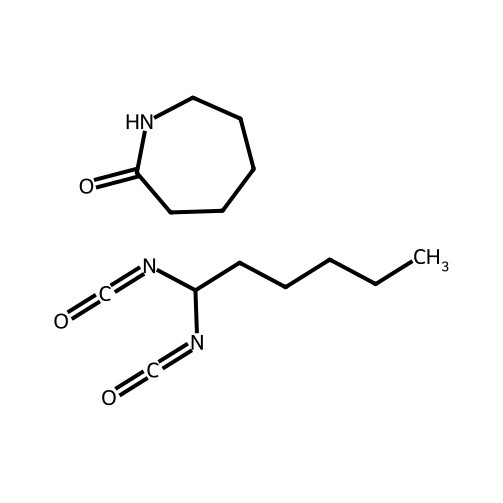 CCCCCC(N=C=O)N=C=O.O=C1CCCCCN1